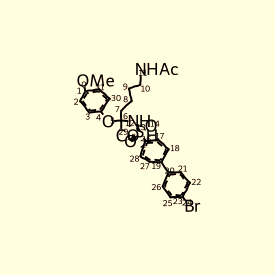 COc1ccc(OC(CCCCNC(C)=O)(NS(=O)(=O)c2ccc(-c3ccc(Br)cc3)cc2)C(=O)O)cc1